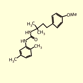 COc1ccc(CCC(C)(C)NC(=O)Nc2cc(C)ccc2C)cc1